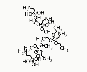 CCO[Si](CN)(OCC)OCC.CO[Si](CCN)(OC)OC.CO[Si](CN)(OC)OC.NCC[Si](O)(O)O.NC[Si](O)(O)O